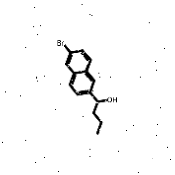 CCCC(O)c1ccc2cc(Br)ccc2c1